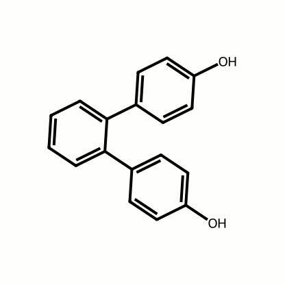 Oc1ccc(-c2ccccc2-c2ccc(O)cc2)cc1